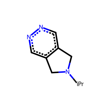 CC(C)N1Cc2cnncc2C1